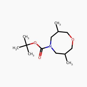 CC1COCC(C)CN(C(=O)OC(C)(C)C)C1